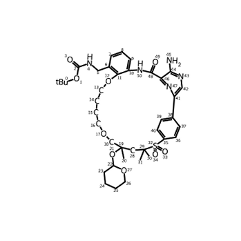 CC(C)(C)OC(=O)NCc1cccc2c1OCCCCOCC(C)(OC1CCCCO1)CC(C)(C)S(=O)(=O)c1ccc(cc1)-c1cnc(N)c(n1)C(=O)N2